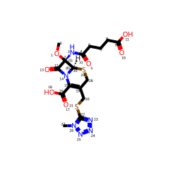 CO[C@@]1(NC(=O)CCCC(=O)O)C(=O)N2C(C(=O)O)=C(CSc3nnnn3C)CS[C@@H]21